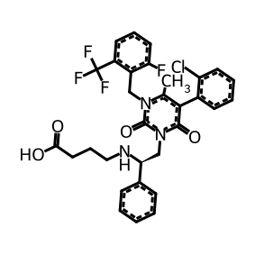 Cc1c(-c2ccccc2Cl)c(=O)n(C[C@H](NCCCC(=O)O)c2ccccc2)c(=O)n1Cc1c(F)cccc1C(F)(F)F